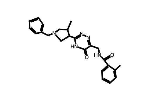 Cc1ccccc1C(=O)NCc1nnc(C2CN(Cc3ccccc3)CC2C)[nH]c1=O